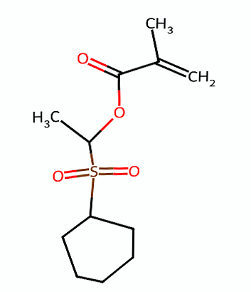 C=C(C)C(=O)OC(C)S(=O)(=O)C1CCCCC1